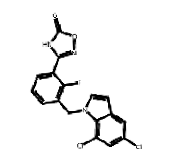 O=c1[nH]c(-c2cccc(Cn3ccc4cc(Cl)cc(Cl)c43)c2F)no1